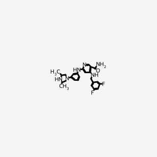 CC1CN(c2cccc(Nc3cc(NCc4cc(F)cc(F)c4)c(C(N)=O)cn3)c2)CC(C)N1